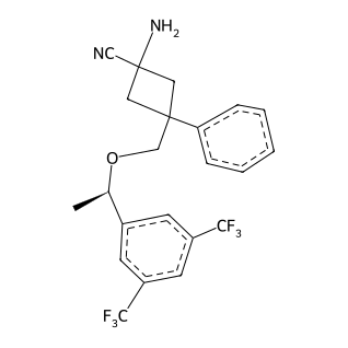 C[C@@H](OCC1(c2ccccc2)CC(N)(C#N)C1)c1cc(C(F)(F)F)cc(C(F)(F)F)c1